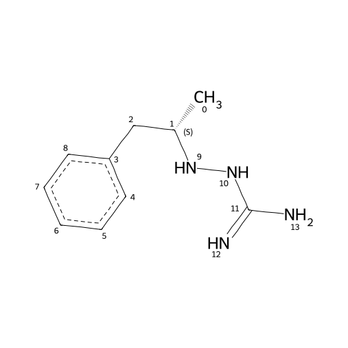 C[C@@H](Cc1ccccc1)NNC(=N)N